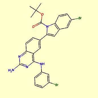 CC(C)(C)OC(=O)n1c(-c2ccc3nc(N)nc(Nc4cccc(Br)c4)c3c2)cc2cc(Br)ccc21